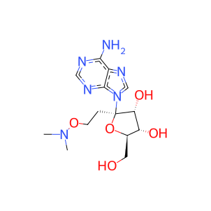 CN(C)OCC[C@@]1(n2cnc3c(N)ncnc32)O[C@H](CO)[C@@H](O)[C@H]1O